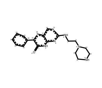 O=c1[nH]c2nc(NCCN3CCNCC3)ncc2nc1-c1ccccc1